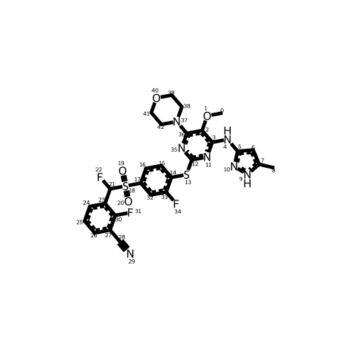 COc1c(Nc2cc(C)[nH]n2)nc(Sc2ccc(S(=O)(=O)C(F)c3cccc(C#N)c3F)cc2F)nc1N1CCOCC1